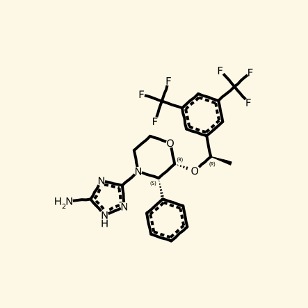 C[C@@H](O[C@H]1OCCN(c2n[nH]c(N)n2)[C@H]1c1ccccc1)c1cc(C(F)(F)F)cc(C(F)(F)F)c1